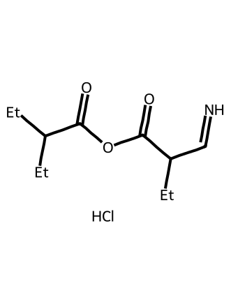 CCC(C=N)C(=O)OC(=O)C(CC)CC.Cl